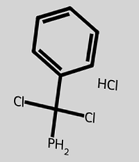 Cl.PC(Cl)(Cl)c1ccccc1